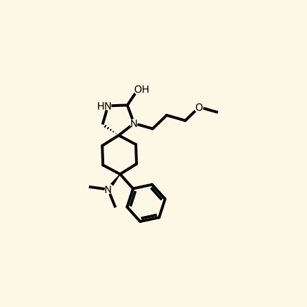 COCCCN1C(O)NC[C@]12CC[C@](c1ccccc1)(N(C)C)CC2